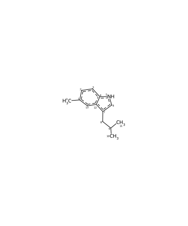 Cc1ccc2[nH]cc(CC(C)C)c2c1